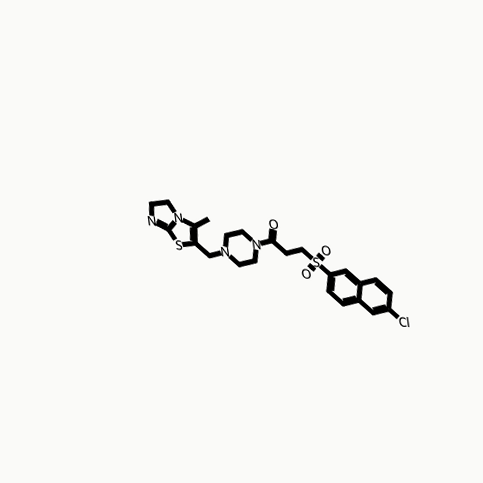 CC1=C(CN2CCN(C(=O)CCS(=O)(=O)c3ccc4cc(Cl)ccc4c3)CC2)SC2=NCCN21